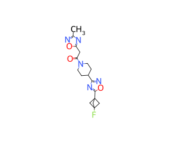 Cc1noc(CC(=O)N2CCC(c3noc(C45CC(F)(C4)C5)n3)CC2)n1